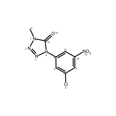 Cn1nnn(-c2cc(Cl)cc([N+](=O)[O-])c2)c1=O